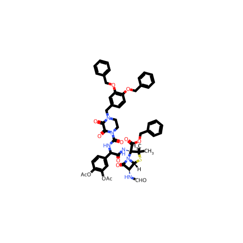 CC(=O)Oc1ccc(C(NC(=O)N2CCN(Cc3ccc(OCc4ccccc4)c(OCc4ccccc4)c3)C(=O)C2=O)C(=O)N[C@@]2(C(=O)OCc3ccccc3)N3C(=O)[C@@H](NC=O)[C@H]3SC2(C)C)cc1OC(C)=O